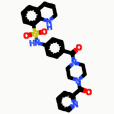 O=C(c1ccc(NS(=O)(=O)c2cccc3c2NCC=C3)cc1)N1CCN(C(=O)c2ccccn2)CC1